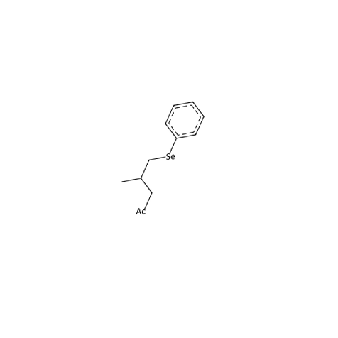 CC(=O)CC(C)C[Se]c1ccccc1